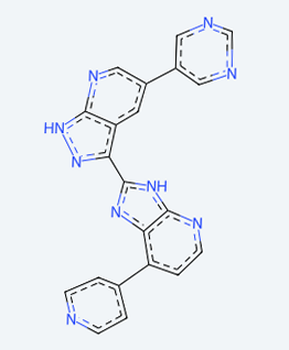 c1cc(-c2ccnc3[nH]c(-c4n[nH]c5ncc(-c6cncnc6)cc45)nc23)ccn1